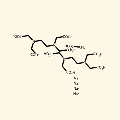 CC(=O)O.O=C(O)CN(CCN(CC(=O)O)CC(=O)O)CC(=O)O.O=C([O-])CN(CCN(CC(=O)[O-])CC(=O)[O-])CC(=O)[O-].[Na+].[Na+].[Na+].[Na+]